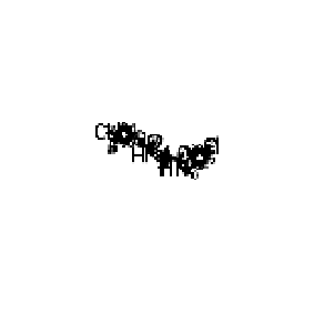 C[C@@H](NC(=O)C12CC(NC(=O)COc3ccc(Cl)c(F)c3)(C1)C2)c1ccc(Cl)cc1